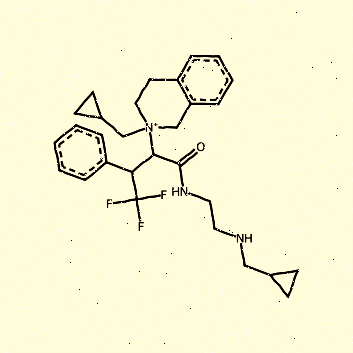 O=C(NCCNCC1CC1)C(C(c1ccccc1)C(F)(F)F)[N+]1(CC2CC2)CCc2ccccc2C1